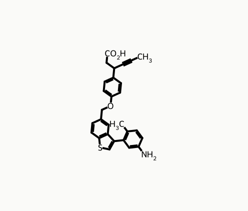 CC#CC(CC(=O)O)c1ccc(OCc2ccc3scc(-c4cc(N)ccc4C)c3c2)cc1